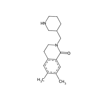 Cc1cc2c(cc1C)C(=O)N(CC1CCCNC1)CC2